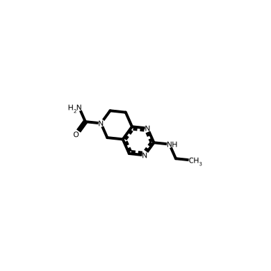 CCNc1ncc2c(n1)CCN(C(N)=O)C2